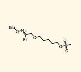 CC/C(COCCCCCOS(C)(=O)=O)=N\OC(C)(C)C